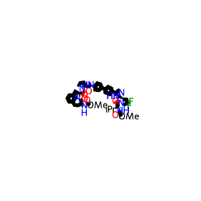 COC(=O)N[C@H]1CCc2cccc3c2N(C1=O)[C@H](C(=O)N1CCC[C@H]1C(=O)Nc1ccc(-c2ccc(-c4cnc([C@@H]5CC(F)(F)CN5C(=O)[C@@H](NC(=O)OC)C(C)C)[nH]4)cc2)cc1)C3